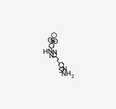 Nc1nc2ccc(/C=C/c3cnc(Nc4ccc(S(=O)(=O)C5CCCCC5)cc4)nc3)cc2s1